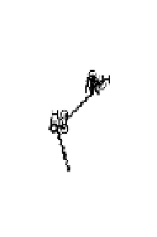 CCCCCCCCCCCCc1ccccc1C(=O)NCC(O)CCCCCCCCCc1nc2c(c(=O)[nH]c(=O)n2C)n1C